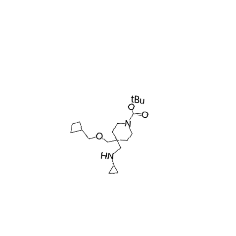 CC(C)(C)OC(=O)N1CCC(CNC2CC2)(COCC2CCC2)CC1